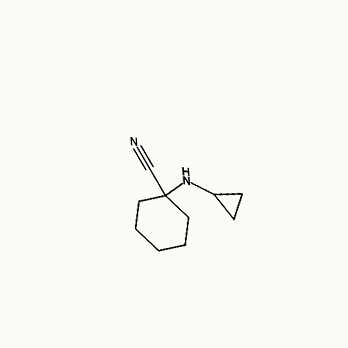 N#CC1(NC2CC2)CCCCC1